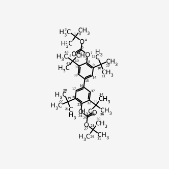 CC(C)(C)OC(=O)Oc1c(C(C)(C)C)cc(-c2cc(C(C)(C)C)c(OC(=O)OC(C)(C)C)c(C(C)(C)C)c2)cc1C(C)(C)C